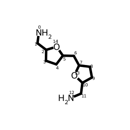 NCC1CCC(CC2CCC(CN)O2)O1